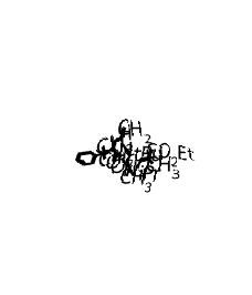 C=CCC(C(=O)N[C@H](C(=O)N(C)[C@H](C=C(C)C(=O)OCC)C(C)C)C(C)(C)C)C(C)(C)c1ccccc1